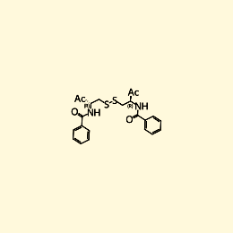 CC(=O)[C@H](CSSC[C@H](NC(=O)c1ccccc1)C(C)=O)NC(=O)c1ccccc1